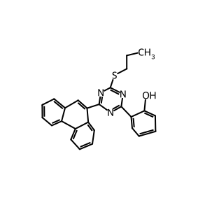 CCCSc1nc(-c2ccccc2O)nc(-c2cc3ccccc3c3ccccc23)n1